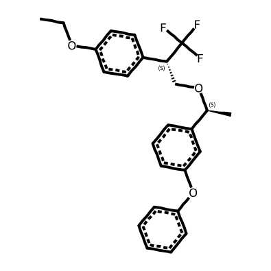 CCOc1ccc([C@@H](CO[C@@H](C)c2cccc(Oc3ccccc3)c2)C(F)(F)F)cc1